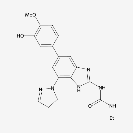 CCNC(=O)Nc1nc2cc(-c3ccc(OC)c(O)c3)cc(N3CCC=N3)c2[nH]1